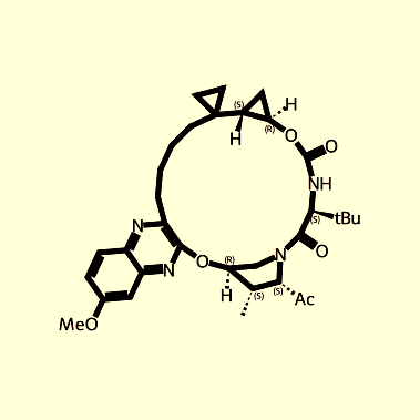 COc1ccc2nc3c(nc2c1)O[C@H]1CN(C(=O)[C@H](C(C)(C)C)NC(=O)O[C@@H]2C[C@H]2C2(CCCC3)CC2)[C@H](C(C)=O)[C@@H]1C